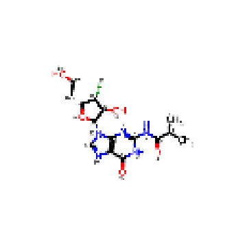 CC(C)C(=O)Nc1nc2c(ncn2[C@@H]2O[C@H](CCO)[C@@H](F)[C@H]2O)c(=O)[nH]1